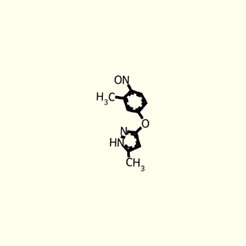 Cc1cc(Oc2ccc(N=O)c(C)c2)n[nH]1